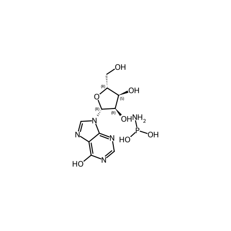 NP(O)O.OC[C@H]1O[C@@H](n2cnc3c(O)ncnc32)[C@H](O)[C@@H]1O